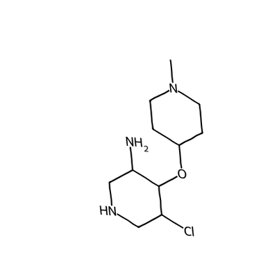 CN1CCC(OC2C(N)CNCC2Cl)CC1